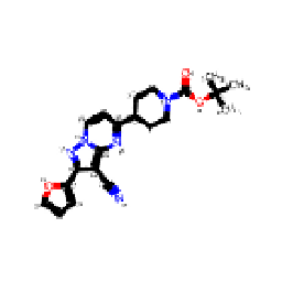 CC(C)(C)OC(=O)N1CCC(c2ccn3nc(-c4ccco4)c(C#N)c3n2)CC1